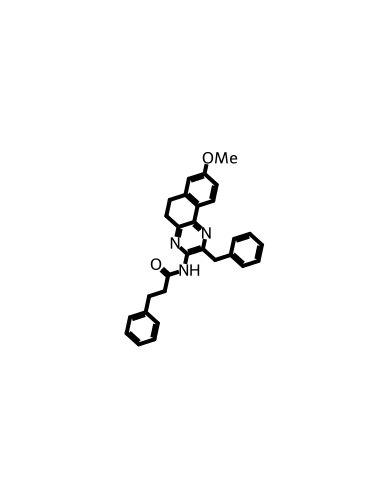 COc1ccc2c(c1)CCc1nc(NC(=O)CCc3ccccc3)c(Cc3ccccc3)nc1-2